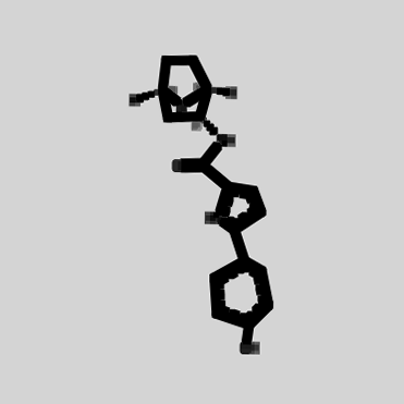 O=C(N[C@@H]1C[C@H]2CC[C@@H]1N2)c1ccc(-c2ccc(O)cc2)[nH]1